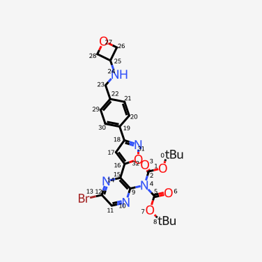 CC(C)(C)OC(=O)N(C(=O)OC(C)(C)C)c1ncc(Br)nc1-c1cc(-c2ccc(CNC3COC3)cc2)no1